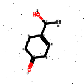 CCC(O)C1=CCC(=O)CC1